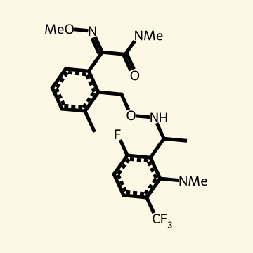 CNC(=O)/C(=N/OC)c1cccc(C)c1CONC(C)c1c(F)ccc(C(F)(F)F)c1NC